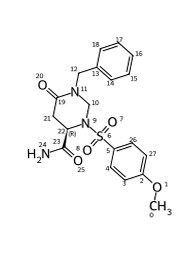 COc1ccc(S(=O)(=O)N2CN(Cc3ccccc3)C(=O)C[C@@H]2C(N)=O)cc1